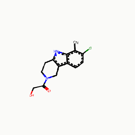 N#Cc1c(Cl)ccc2c3c([nH]c12)CCN(C(=O)CO)C3